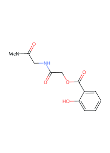 CNC(=O)CNC(=O)COC(=O)c1ccccc1O